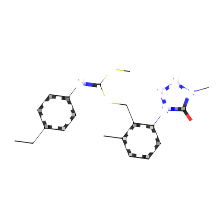 CCc1ccc(/N=C(/SC)SCc2c(C)cccc2-n2nnn(C)c2=O)cc1